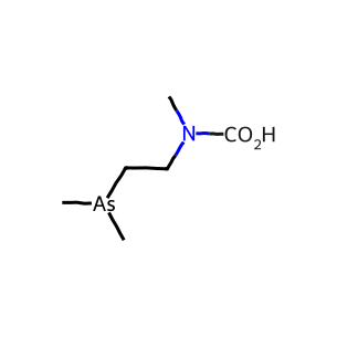 CN(CC[As](C)C)C(=O)O